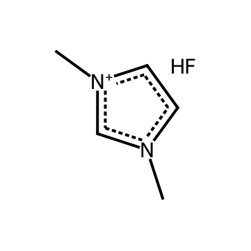 Cn1cc[n+](C)c1.F